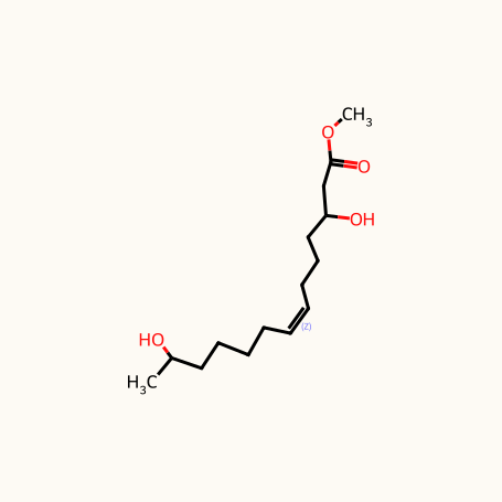 COC(=O)CC(O)CCC/C=C\CCCCC(C)O